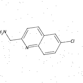 NCc1ccc2cc(Cl)ccc2n1